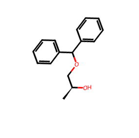 C[C@H](O)COC(c1ccccc1)c1ccccc1